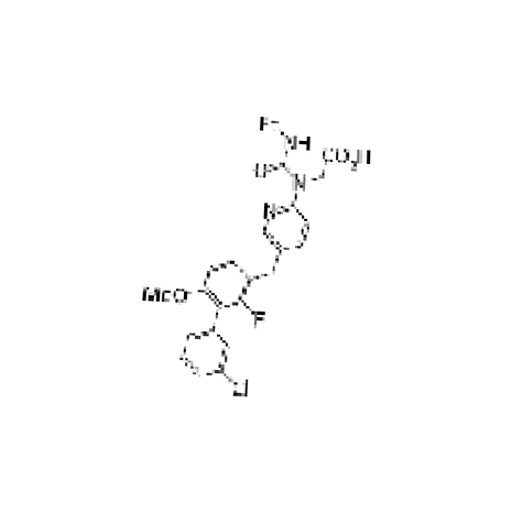 CCNC(=O)N(CC(=O)O)c1ccc(Cc2ccc(OC)c(-c3cccc(Cl)c3)c2F)cn1